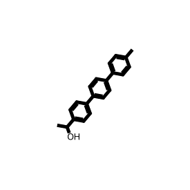 Cc1ccc(-c2ccc(-c3ccc(C(C)O)cc3)cc2)cc1